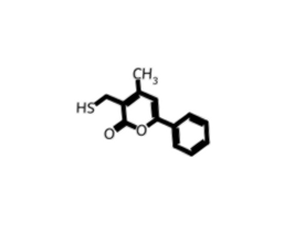 Cc1cc(-c2ccccc2)oc(=O)c1CS